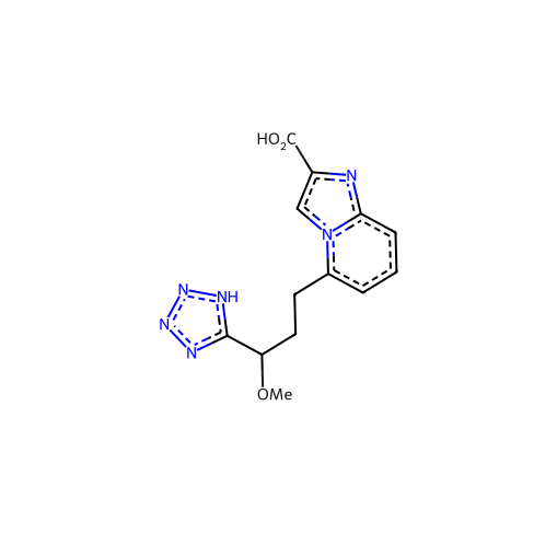 COC(CCc1cccc2nc(C(=O)O)cn12)c1nnn[nH]1